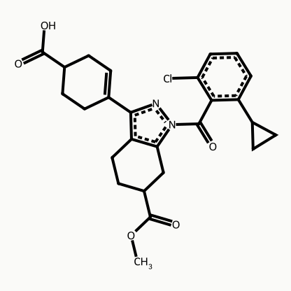 COC(=O)C1CCc2c(C3=CCC(C(=O)O)CC3)nn(C(=O)c3c(Cl)cccc3C3CC3)c2C1